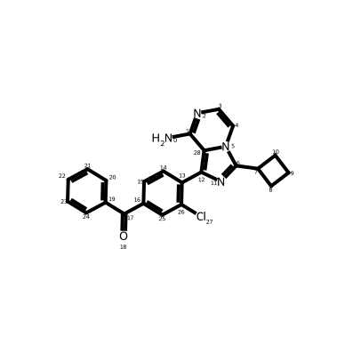 Nc1nccn2c(C3CCC3)nc(-c3ccc(C(=O)c4ccccc4)cc3Cl)c12